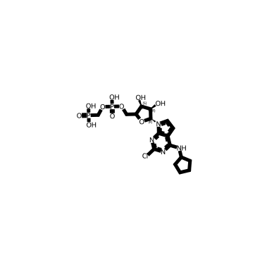 O=P(O)(O)COP(=O)(O)OCC1O[C@@H](n2ccc3c(NC4CCCC4)nc(Cl)nc32)[C@H](O)[C@@H]1O